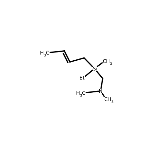 C/C=C/C[Si](C)(CC)CN(C)C